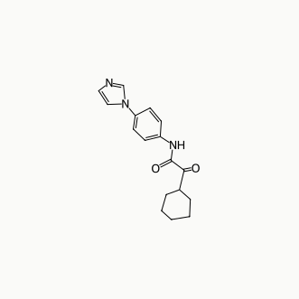 O=C(Nc1ccc(-n2ccnc2)cc1)C(=O)C1CCCCC1